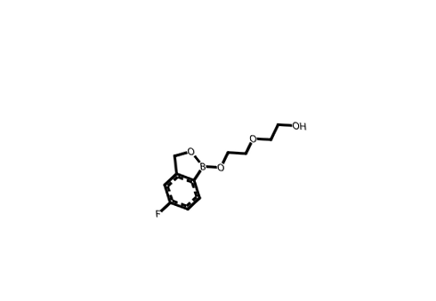 OCCOCCOB1OCc2cc(F)ccc21